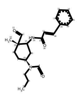 CCCN(C=O)[C@H]1CC[C@](C)(C=O)C(NC(=O)C=Cc2ccccc2)C1